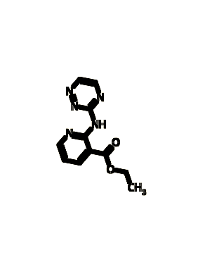 CCOC(=O)c1cccnc1Nc1nccnn1